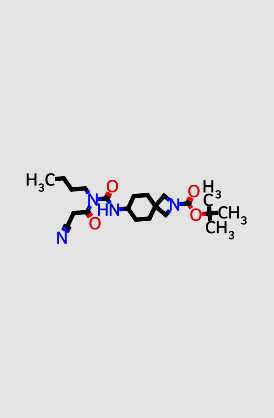 CCCCN(C(=O)CC#N)C(=O)NC1CCC2(CC1)CN(C(=O)OC(C)(C)C)C2